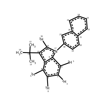 [2H]c1c([2H])c([2H])c2c(c1[2H])c(C(C)(C)C)c([2H])n2-c1ccc2ccccc2c1